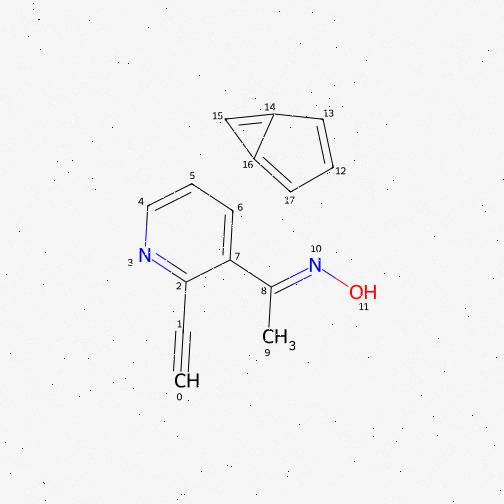 C#Cc1ncccc1C(C)=NO.c1cc2cc-2c1